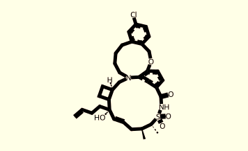 C=CCC[C@]1(O)/C=C/C[C@H](C)[C@@H](C)S(=O)(=O)NC(=O)c2ccc3c(c2)N(CCCCc2cc(Cl)ccc2CO3)C[C@@H]2CCC21